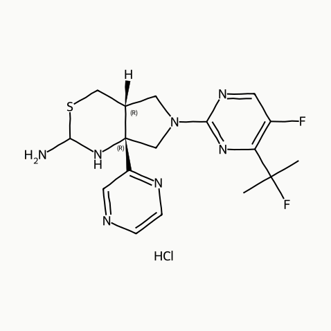 CC(C)(F)c1nc(N2C[C@H]3CSC(N)N[C@@]3(c3cnccn3)C2)ncc1F.Cl